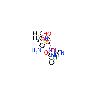 CC(C)CN([C@H](CO)CCCCNC(=O)[C@H](Cc1ccccc1Cl)NC(=O)c1ccncc1)S(=O)(=O)c1ccc(N)cc1